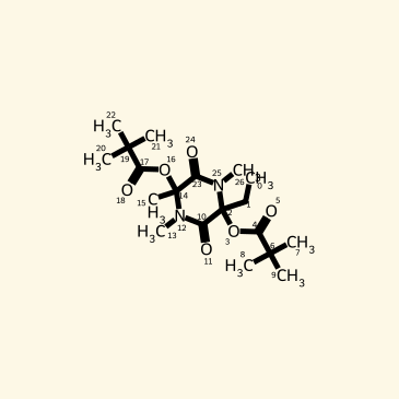 CCC1(OC(=O)C(C)(C)C)C(=O)N(C)C(C)(OC(=O)C(C)(C)C)C(=O)N1C